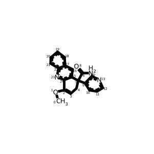 COC1=CCC(C(N)=O)(c2cccnc2)c2cc3ccccc3nc21